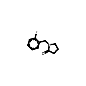 O=C1CCCN1Cc1ccccc1F